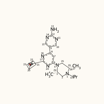 CC(C)N1C[C@H](C)N(c2cc(-c3cnc(N)nc3)nc(N3CC4CC3C4)n2)C[C@@H]1C